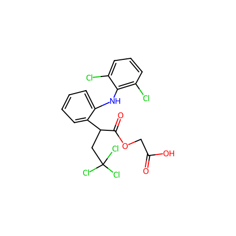 O=C(O)COC(=O)C(CC(Cl)(Cl)Cl)c1ccccc1Nc1c(Cl)cccc1Cl